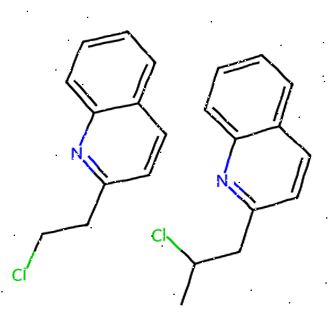 CC(Cl)Cc1ccc2ccccc2n1.ClCCc1ccc2ccccc2n1